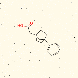 O=C(O)CC12CCC(c3ccccc3)(CC1)C2